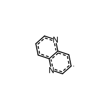 [c]1cnc2cccnc2c1